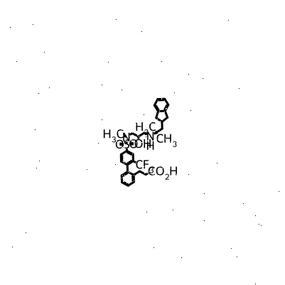 CN(CC(O)CNC(C)(C)CC1Cc2ccccc2C1)S(=O)(=O)c1ccc(-c2ccccc2CCC(=O)O)c(C(F)(F)F)c1